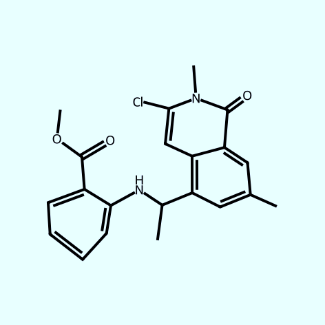 COC(=O)c1ccccc1NC(C)c1cc(C)cc2c(=O)n(C)c(Cl)cc12